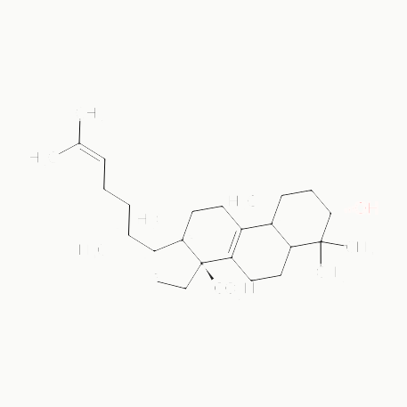 CC(C)=CCC[C@@H](C)[C@H]1CC[C@@]2(C(=O)O)C3=C(CC[C@]12C)[C@@]1(C)CC[C@H](O)C(C)(C)C1CC3